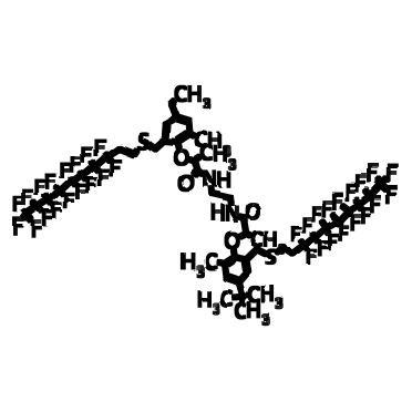 CCc1cc(C)c(OC(C)C(=O)NCCNC(=O)C(C)Oc2c(C)cc(C(C)(C)C)cc2CSCCC(F)(F)C(F)(F)C(F)(F)C(F)(F)C(F)(F)C(F)(F)C(F)(F)C(F)(F)F)c(CSCCC(F)(F)C(F)(F)C(F)(F)C(F)(F)C(F)(F)C(F)(F)C(F)(F)C(F)(F)F)c1